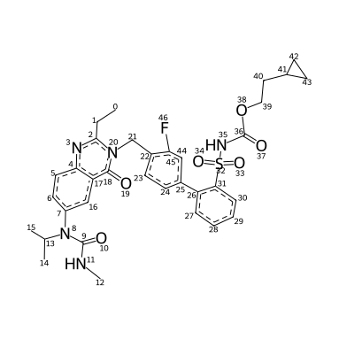 CCc1nc2ccc(N(C(=O)NC)C(C)C)cc2c(=O)n1Cc1ccc(-c2ccccc2S(=O)(=O)NC(=O)OCCC2CC2)cc1F